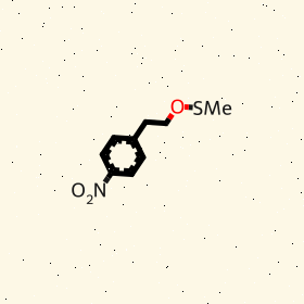 CSOCCc1ccc([N+](=O)[O-])cc1